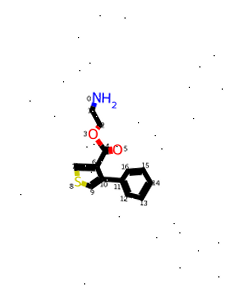 NCCOC(=O)c1cscc1-c1ccccc1